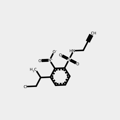 C#CCNS(=O)(=O)c1cccc(C(C)CCl)c1[N+](=O)[O-]